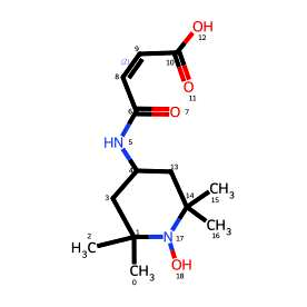 CC1(C)CC(NC(=O)/C=C\C(=O)O)CC(C)(C)N1O